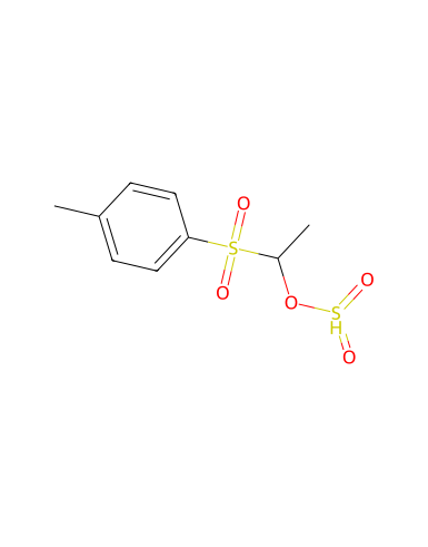 Cc1ccc(S(=O)(=O)C(C)O[SH](=O)=O)cc1